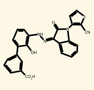 N#Cc1sccc1N1C(=O)C(=NNc2cccc(-c3cccc(C(=O)O)c3)c2O)c2ccccc21